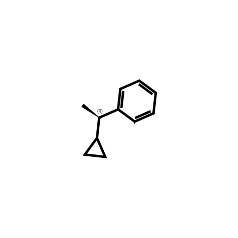 C[C@@H](c1[c]cccc1)C1CC1